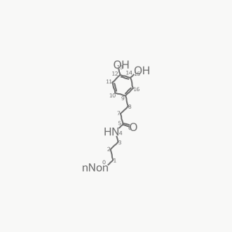 CCCCCCCCCCCCNC(=O)CCc1ccc(O)c(O)c1